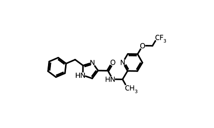 CC(NC(=O)c1c[nH]c(Cc2ccccc2)n1)c1ccc(OCC(F)(F)F)cn1